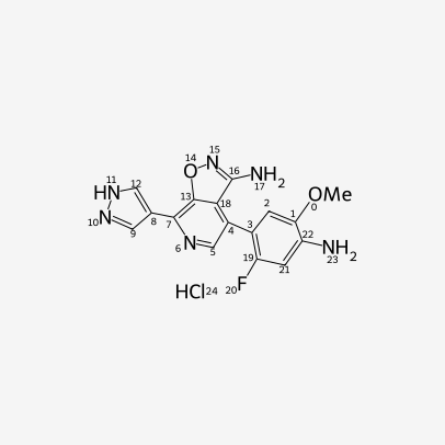 COc1cc(-c2cnc(-c3cn[nH]c3)c3onc(N)c23)c(F)cc1N.Cl